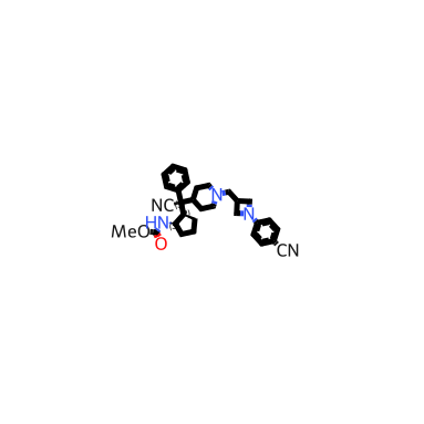 COC(=O)N[C@H]1CCC[C@@H]1[C@](C#N)(c1ccccc1)C1CCN(CC2CN(c3ccc(C#N)cc3)C2)CC1